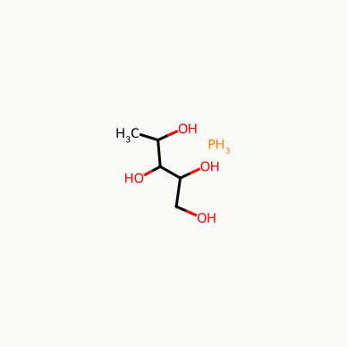 CC(O)C(O)C(O)CO.P